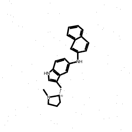 CN1CCC[C@H]1Cc1c[nH]c2ccc(Nc3ccc4ccccc4c3)cc12